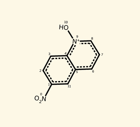 O=[N+]([O-])c1ccc2c(ccc[n+]2O)c1